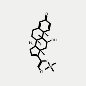 C[C@]12C=CC(=O)C=C1CC[C@H]1[C@@H]3CC=C(C(=CCl)O[Si](C)(C)C)[C@@]3(C)C[C@H](O)C12F